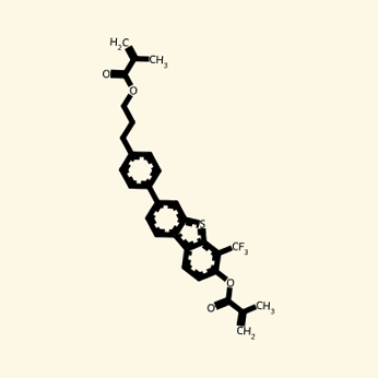 C=C(C)C(=O)OCCCc1ccc(-c2ccc3c(c2)sc2c(C(F)(F)F)c(OC(=O)C(=C)C)ccc23)cc1